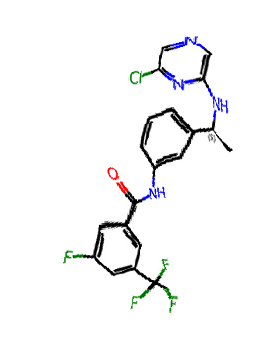 C[C@H](Nc1cncc(Cl)n1)c1cccc(NC(=O)c2cc(F)cc(C(F)(F)F)c2)c1